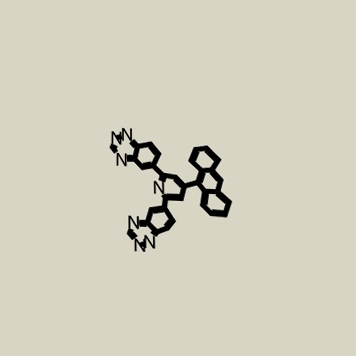 c1ccc2c(-c3cc(-c4ccc5nncnc5c4)nc(-c4ccc5nncnc5c4)c3)c3ccccc3cc2c1